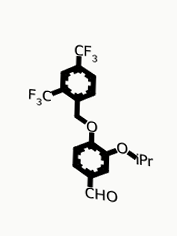 CC(C)Oc1cc(C=O)ccc1OCc1ccc(C(F)(F)F)cc1C(F)(F)F